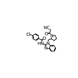 N#CCC(=O)N1CCCC1Cn1c(NC(=O)c2ccc(Cl)cc2)nc2ccccc21